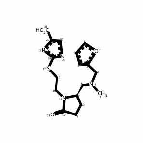 CN(Cc1ccco1)C[C@H]1CCC(=O)N1CCSc1nc(C(=O)O)cs1